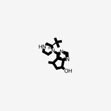 CC1CC(O)c2ncnc(N3CCNC[C@H]3C(C)(C)C)c21